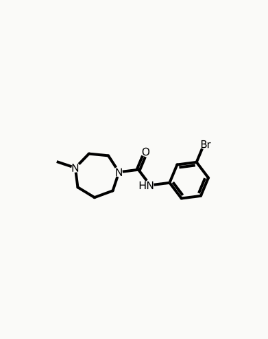 CN1CCCN(C(=O)Nc2cccc(Br)c2)CC1